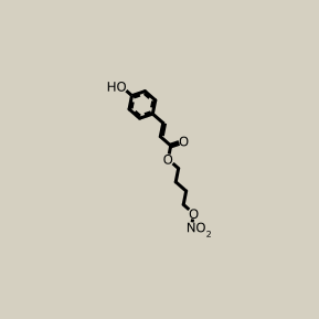 O=C(/C=C/c1ccc(O)cc1)OCCCCO[N+](=O)[O-]